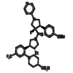 CC[C@H]1CN(C(=O)[C@]2(F)CN(c3ccncc3)C[C@H]2c2ccc(OC)cc2)C[C@@H]1c1ccc(C(F)(F)F)cc1N1CCC(C(=O)O)CC1